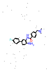 CN(C)Cc1ccc(C(=O)Nc2cc(-c3ccc(F)cc3)ccc2N)cc1